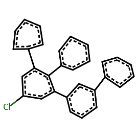 Clc1cc(-c2ccccc2)c(-c2ccccc2)c(-c2cccc(-c3ccccc3)c2)c1